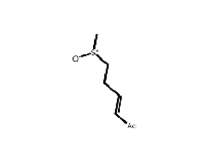 CC(=O)C=CCC[S+](C)[O-]